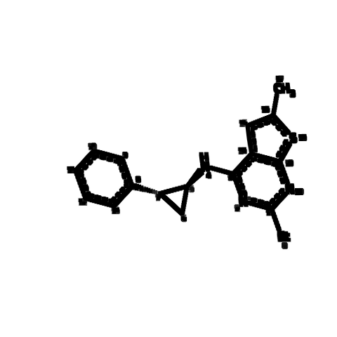 CCc1nc(N[C@H]2C[C@@H]2c2ccccc2)c2cc(C)sc2n1